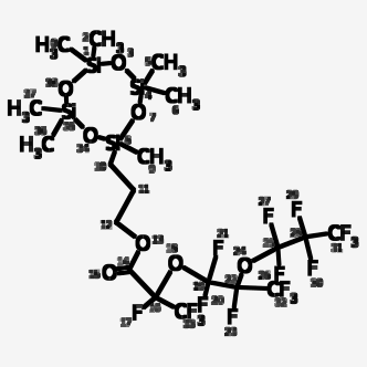 C[Si]1(C)O[Si](C)(C)O[Si](C)(CCCOC(=O)C(F)(OC(F)(F)C(F)(OC(F)(F)C(F)(F)C(F)(F)F)C(F)(F)F)C(F)(F)F)O[Si](C)(C)O1